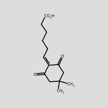 CC1(C)CC(=O)C(=CCCCCC(=O)O)C(=O)C1